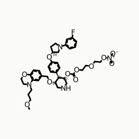 COCCCN1CCOc2ccc(CO[C@H]3CNC[C@@H](OC(=O)OCCOCCO[N+](=O)[O-])[C@@H]3c3ccc(O[C@H]4CCN(c5cccc(F)c5)C4)cc3)cc21